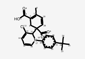 CC1=C(C(=O)O)CC(C(=O)O)(C2C(Cl)=CC=CN2c2ccc(C(C)(C)C)cc2)C=C1